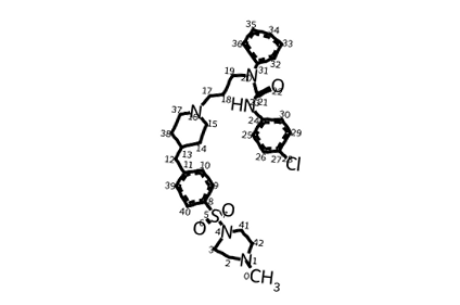 CN1CCN(S(=O)(=O)c2ccc(CC3CCN(CCCN(C(=O)Nc4ccc(Cl)cc4)c4ccccc4)CC3)cc2)CC1